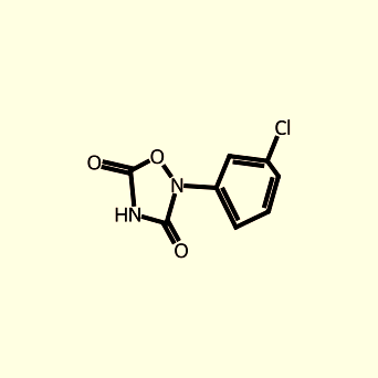 O=c1[nH]c(=O)n(-c2cccc(Cl)c2)o1